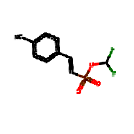 N#Cc1ccc(C=CS(=O)(=O)OC(F)F)cc1